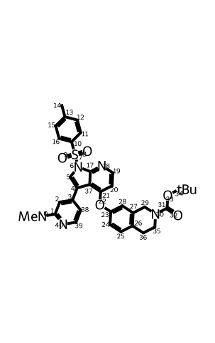 CNc1cc(-c2cn(S(=O)(=O)c3ccc(C)cc3)c3nccc(Oc4ccc5c(c4)CN(C(=O)OC(C)(C)C)CC5)c23)ccn1